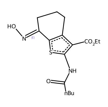 CCCCC(=O)Nc1sc2c(c1C(=O)OCC)CCC/C2=N\O